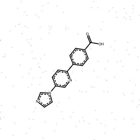 O=C(O)c1ccc(-c2ccc(-n3ccnc3)cn2)cc1